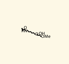 C=C(C)C(=O)NCCCCCCOCC(O)COC